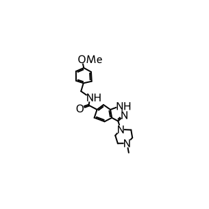 COc1ccc(CNC(=O)c2ccc3c(N4CCN(C)CC4)n[nH]c3c2)cc1